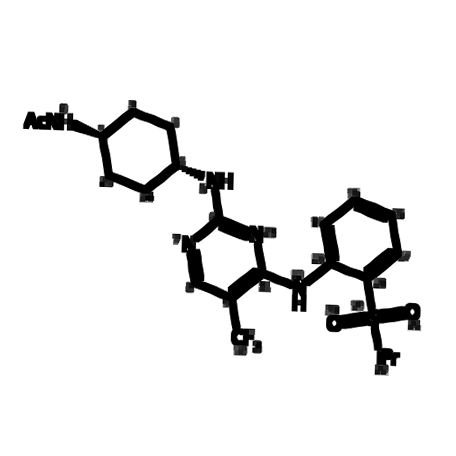 CC(=O)N[C@H]1CC[C@H](Nc2ncc(C(F)(F)F)c(Nc3ccccc3S(=O)(=O)C(C)C)n2)CC1